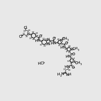 Cl.Cn1cc(NC(=O)c2cc(NC(=O)c3cc(NC(=O)c4nc5cc(NC(=O)c6ccc(N(CCCl)CCCl)cc6)ccc5s4)cn3C)cn2C)cc1C(=O)NCCC(=N)N